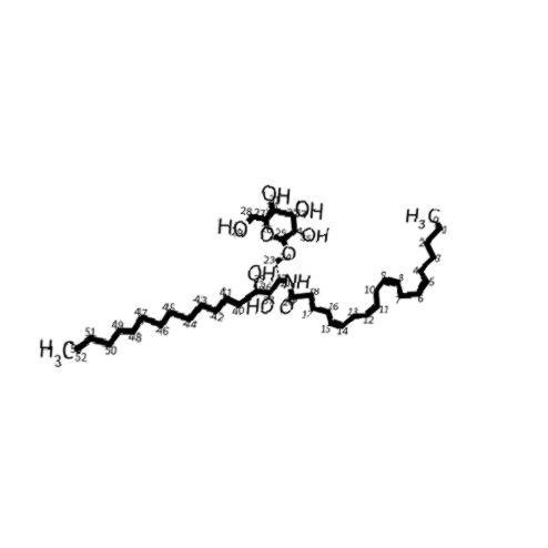 CCCCC/C=C\C/C=C\C/C=C\C/C=C\CCCC(=O)N[C@@H](COC1OC(CO)C(O)C(O)[C@@H]1O)[C@H](O)[C@H](O)CCCCCCCCCCCCCC